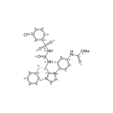 COC(=O)Nc1ccc(-n2ccnc2[C@H](Cc2ccccc2)NC(=O)NS(=O)(=O)c2cccc(Cl)c2)cc1